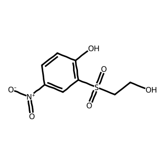 O=[N+]([O-])c1ccc(O)c(S(=O)(=O)CCO)c1